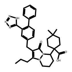 CCCc1c(Cc2ccc(-c3ccccc3)c(-c3nnn[nH]3)c2)c(=O)n2n1CCCC2C1(C(=O)O)CCC(C)(C)CC1